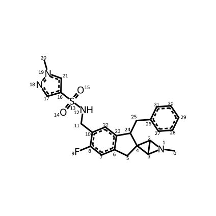 CN1C2C1C21Cc2cc(F)c(CNS(=O)(=O)c3cnn(C)c3)cc2C1Cc1ccccc1